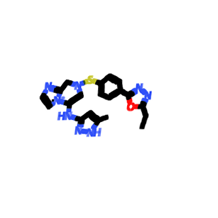 CCc1nnc(-c2ccc(SN3C=C(Nc4cc(C)[nH]n4)[N+]4C=CN=C4C3)cc2)o1